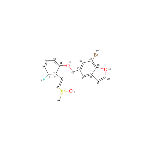 C[S+]([O-])C=Cc1c(F)cccc1OCc1cc(Br)c2occc2c1